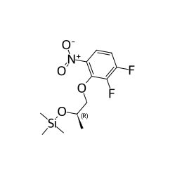 C[C@H](COc1c([N+](=O)[O-])ccc(F)c1F)O[Si](C)(C)C